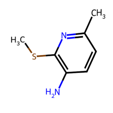 CSc1nc(C)ccc1N